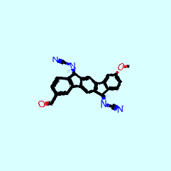 COc1ccc2/c(=N\C#N)c3cc4c(cc3c2c1)/c(=N/C#N)c1ccc(C=O)cc14